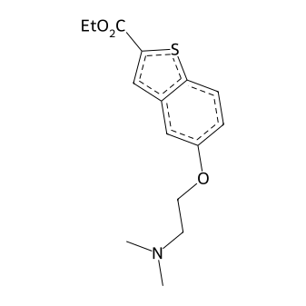 CCOC(=O)c1cc2cc(OCCN(C)C)ccc2s1